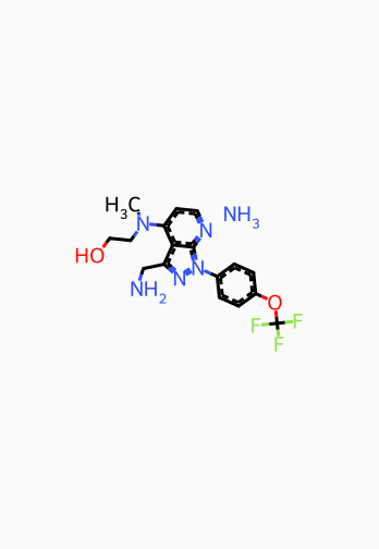 CN(CCO)c1ccnc2c1c(CN)nn2-c1ccc(OC(F)(F)F)cc1.N